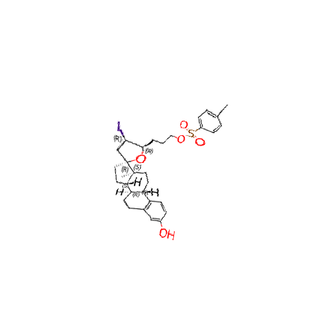 Cc1ccc(S(=O)(=O)OCCC[C@H]2O[C@]3(CC[C@H]4[C@@H]5CCc6cc(O)ccc6[C@H]5CC[C@@]43C)C[C@H]2I)cc1